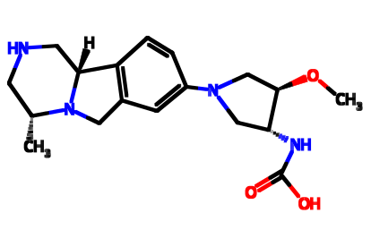 CO[C@@H]1CN(c2ccc3c(c2)CN2[C@H](C)CNC[C@H]32)C[C@H]1NC(=O)O